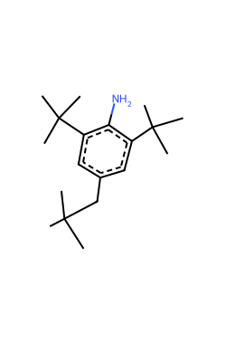 CC(C)(C)Cc1cc(C(C)(C)C)c(N)c(C(C)(C)C)c1